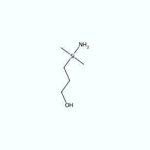 C[Si](C)(N)CCCO